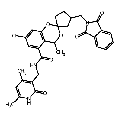 Cc1cc(C)c(CNC(=O)c2cc(Cl)cc3c2C(C)OC2(CCC(CN4C(=O)c5ccccc5C4=O)C2)O3)c(=O)[nH]1